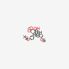 CC(C)(C)[Si](C)(C)Oc1ccc([C@H]2C[C@]3(C)C(O[Si](C)(C)C)=CC[C@H]3[C@@H]3CC[C@@]4(O)CC5(CC[C@@H]4[C@H]32)OCCO5)cc1